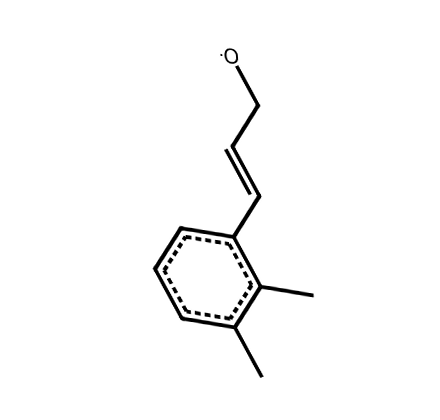 Cc1cccc(/C=C/C[O])c1C